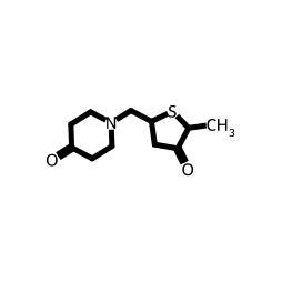 CC1SC(CN2CCC(=O)CC2)CC1=O